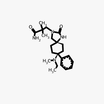 CCN(C)[C@]1(c2ccccc2)CC[C@@]2(CC1)CN(CC(C)(C)C(N)=O)C(=O)N2